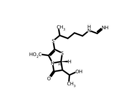 CC(CCCNC=N)SC1=C(C(=O)O)N2C(=O)C(C(C)O)[C@H]2S1